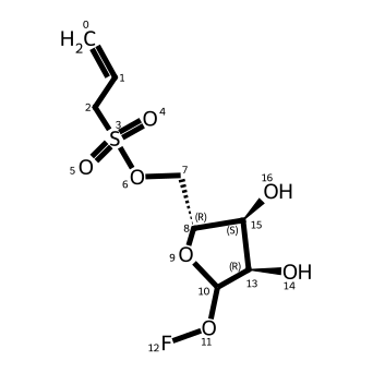 C=CCS(=O)(=O)OC[C@H]1OC(OF)[C@H](O)[C@@H]1O